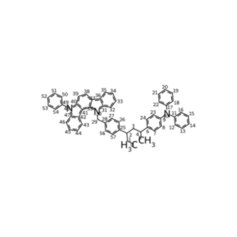 CCC(CC(C)c1ccc(N(c2ccccc2)c2ccccc2)cc1)c1ccc(Cn2c3ccccc3c3ccc4c(c5ccccc5n4-c4ccccc4)c32)cc1